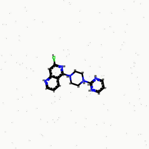 Clc1cc2ncccc2c(N2CCN(c3ncccn3)CC2)n1